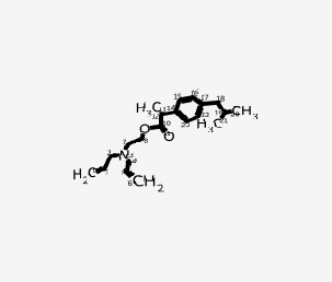 C=CCN(CC=C)CCOC(=O)C(C)c1ccc(CC(C)C)cc1